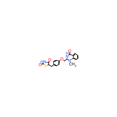 CN1c2ccccc2C(=O)NC1COc1ccc(CC2SC(=O)NC2=O)cc1